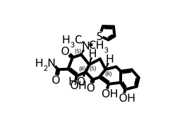 CN(C)[C@@H]1C(=O)C(C(N)=O)=C(O)[C@@]2(O)C(=O)C3=C(O)c4c(O)cccc4C[C@H]3C[C@@H]12.c1ccsc1